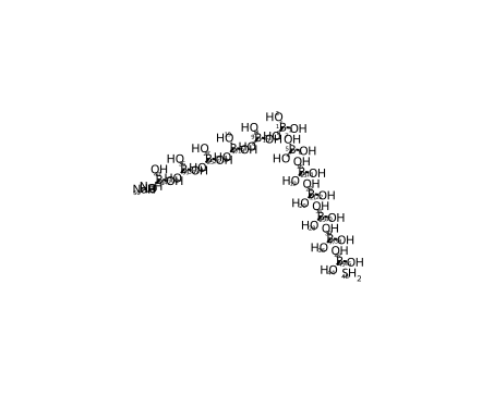 OB(O)O.OB(O)O.OB(O)O.OB(O)O.OB(O)O.OB(O)O.OB(O)O.OB(O)O.OB(O)O.OB(O)O.OB(O)O.OB(O)O.S.[NaH].[NaH]